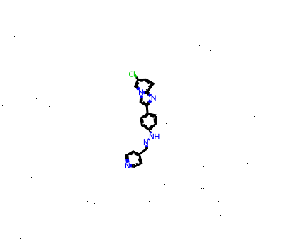 Clc1ccc2nc(-c3ccc(NN=Cc4ccncc4)cc3)cn2c1